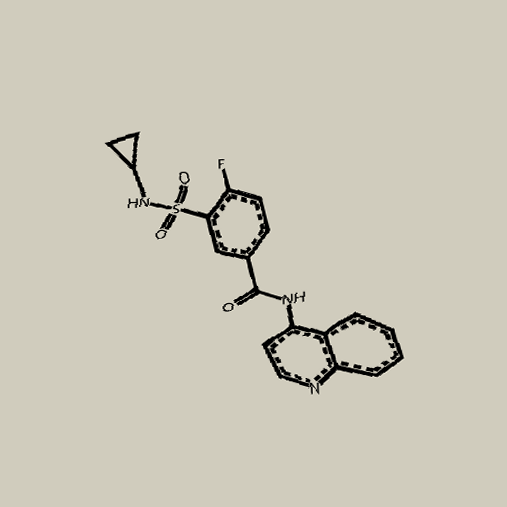 O=C(Nc1ccnc2ccccc12)c1ccc(F)c(S(=O)(=O)NC2CC2)c1